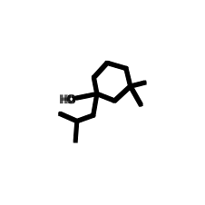 CC(C)CC1(O)CCCC(C)(C)C1